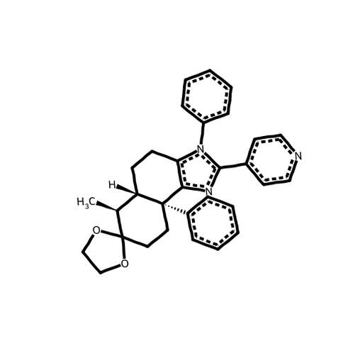 C[C@H]1[C@@H]2CCc3c(nc(-c4ccncc4)n3-c3ccccc3)[C@@]2(c2ccccc2)CCC12OCCO2